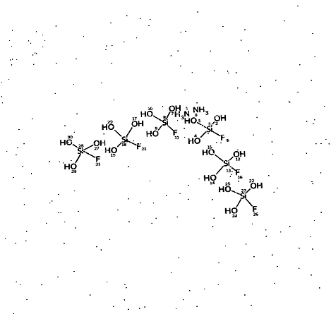 N.N.O[Si](O)(O)F.O[Si](O)(O)F.O[Si](O)(O)F.O[Si](O)(O)F.O[Si](O)(O)F.O[Si](O)(O)F